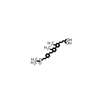 C=C(C)C(=O)OCCCc1ccc(CCc2ccc(-c3ccc(CCCC(CO)CO)cc3CC)cc2CC)cc1